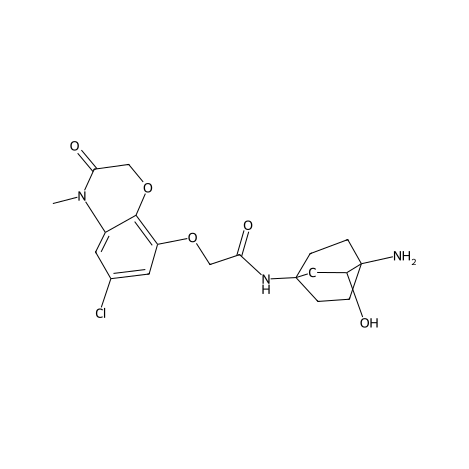 CN1C(=O)COc2c(OCC(=O)NC34CCC(N)(CC3)C(O)C4)cc(Cl)cc21